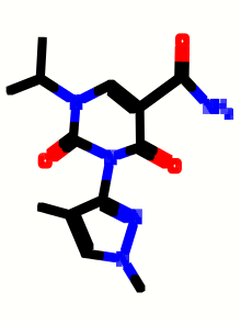 Cc1cn(C)nc1-n1c(=O)c(C(N)=O)cn(C(C)C)c1=O